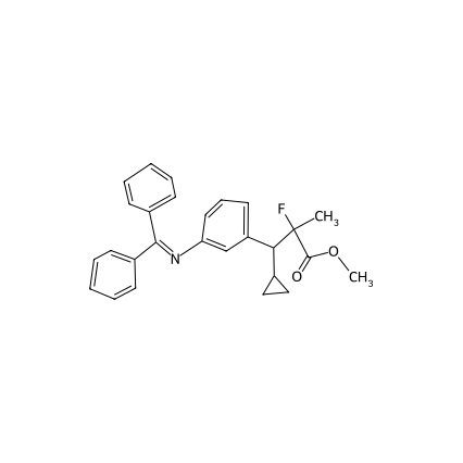 COC(=O)C(C)(F)C(c1cccc(N=C(c2ccccc2)c2ccccc2)c1)C1CC1